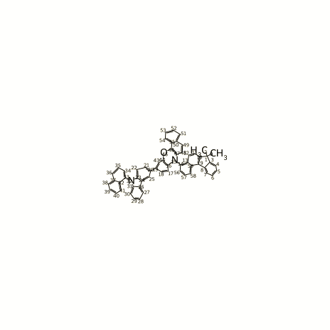 CC1(C)c2ccccc2-c2c1ccc1c(N3c4ccc(-c5ccc6c(c5)c5ccccc5n6-c5cccc6ccccc56)cc4Oc4c3ccc3ccccc43)cccc21